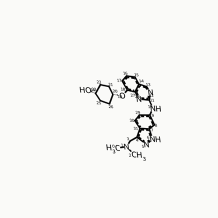 CN(C)Cc1n[nH]c2cc(Nc3ncc4cccc(O[C@H]5CC[C@@H](O)CC5)c4n3)ccc12